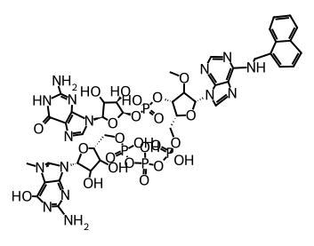 COC1[C@@H](OP(=O)(O)O[C@H]2O[C@@H](n3cnc4c(=O)[nH]c(N)nc43)C(O)[C@H]2O)[C@@H](COP(=O)(O)OP(=O)(O)OP(=O)(O)OC[C@H]2O[C@@H](n3c[n+](C)c4c(O)nc(N)nc43)C(O)C2O)O[C@H]1n1cnc2c(NCc3cccc4ccccc34)ncnc21